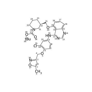 Cc1cc(COc2ccc(Nc3ncnc4cccc(OC[C@@H]5CCCN(C(=O)OC(C)(C)C)C5)c34)cc2Cl)no1